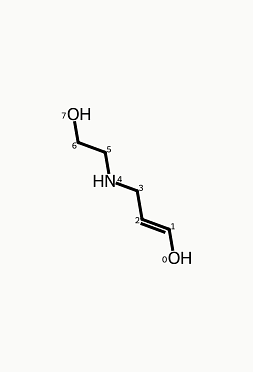 OC=CCNCCO